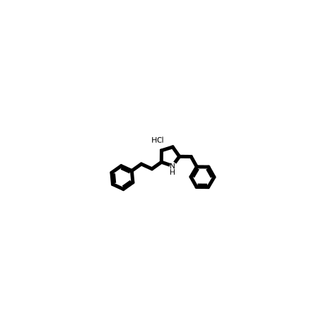 Cl.c1ccc(CCC2CCC(Cc3ccccc3)N2)cc1